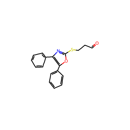 O=CCCSc1nc(-c2ccccc2)c(-c2ccccc2)o1